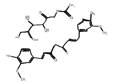 CC(=O)OCC(=O)C(O)C(O)C(O)CO.COc1cc(/C=C/C(=O)CC(=O)/C=C/c2ccc(O)c(OC)c2)ccc1O